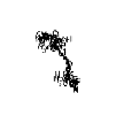 Cc1ncsc1-c1ccc(CNC(=O)[C@@H]2C[C@@H](O)CN2C(=O)[C@@H](NC(=O)CCCCOCCCCCOc2ccc(N3C(=S)N(c4ccc(C#N)c(C(F)(F)F)c4)C(=O)C3(C)C)cc2)C(C)(C)C)cc1